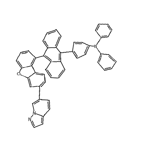 c1ccc(N(c2ccccc2)c2ccc(-c3c4ccccc4c(-c4cccc5oc6cc(-c7ccc8ccnn8c7)ccc6c45)c4ccccc34)cc2)cc1